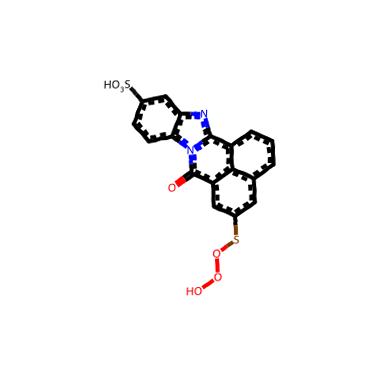 O=c1c2cc(SOOO)cc3cccc(c32)c2nc3cc(S(=O)(=O)O)ccc3n12